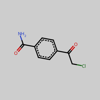 NC(=O)c1ccc(C(=O)CCl)cc1